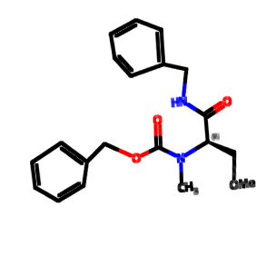 COC[C@H](C(=O)NCc1ccccc1)N(C)C(=O)OCc1ccccc1